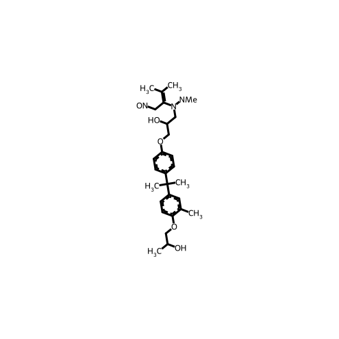 CNN(CC(O)COc1ccc(C(C)(C)c2ccc(OCC(C)O)c(C)c2)cc1)C(CN=O)=C(C)C